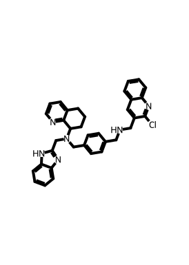 Clc1nc2ccccc2cc1CNCc1ccc(CN(Cc2nc3ccccc3[nH]2)C2CCCc3cccnc32)cc1